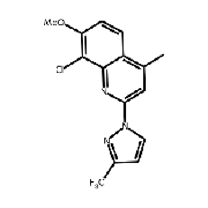 COc1ccc2c(C)cc(-n3ccc(C(F)(F)F)n3)nc2c1Cl